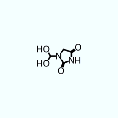 O=C1CN(C(O)O)C(=O)N1